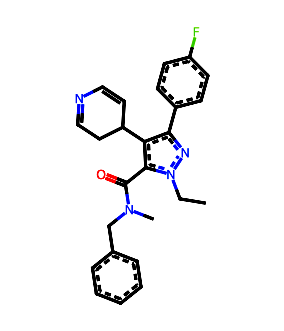 CCn1nc(-c2ccc(F)cc2)c(C2C=CN=CC2)c1C(=O)N(C)Cc1ccccc1